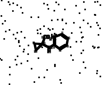 O=C(O)C1(Nc2[c]cccc2)CC1